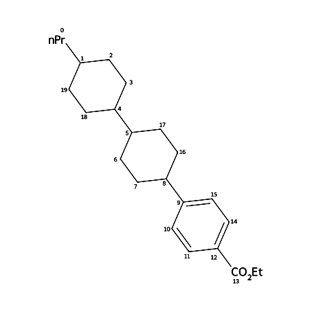 CCCC1CCC(C2CCC(c3ccc(C(=O)OCC)cc3)CC2)CC1